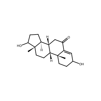 C[C@]12CCC(O)C=C1C(=O)C[C@@H]1[C@H]2CC[C@]2(C)C(O)CC[C@@H]12